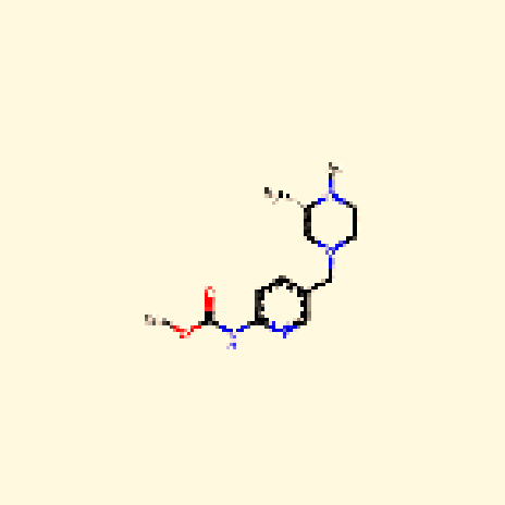 CC(=O)N1CCN(Cc2ccc(NC(=O)OC(C)(C)C)nc2)C[C@@H]1C